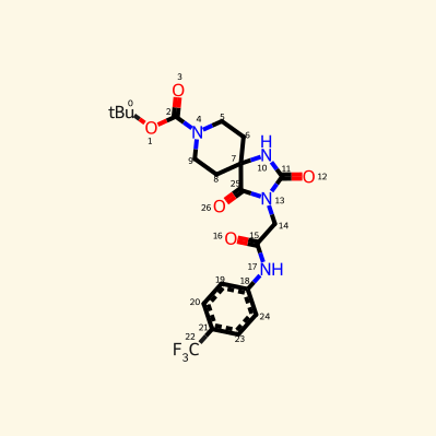 CC(C)(C)OC(=O)N1CCC2(CC1)NC(=O)N(CC(=O)Nc1ccc(C(F)(F)F)cc1)C2=O